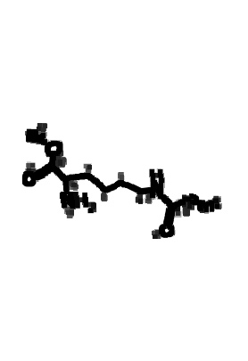 CCCCCC(=O)NCCCCC(N)C(=O)OC(C)(C)C